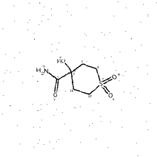 NC(=O)C1(O)CCS(=O)(=O)CC1